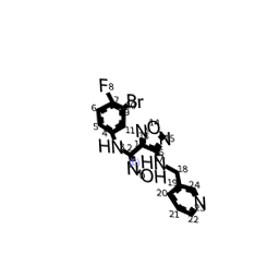 O/N=C(/Nc1ccc(F)c(Br)c1)c1nonc1NCc1cccnc1